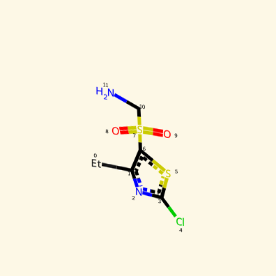 CCc1nc(Cl)sc1S(=O)(=O)CN